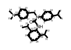 CC(C)c1ccc(N(Cc2ccc(N(C)C)cc2)C(=O)Nc2c(C(C)C)cccc2C(C)C)cc1